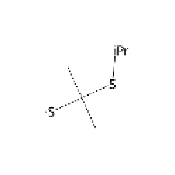 CC(C)SC(C)(C)[S]